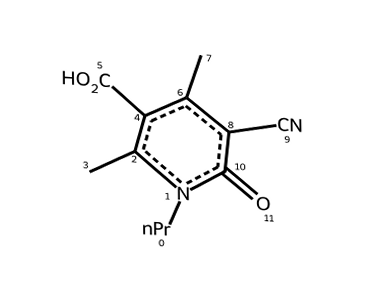 CCCn1c(C)c(C(=O)O)c(C)c(C#N)c1=O